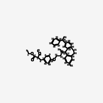 CCOC(=O)C(Cc1ccc(OCCN(C)C2c3ccc(C)cc3CCc3ccc(C(C)c4ccccc4)cc32)cc1)OC